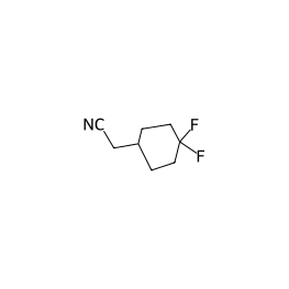 N#CCC1CCC(F)(F)CC1